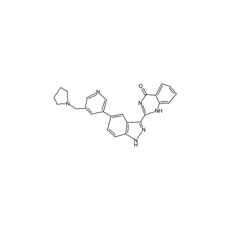 O=c1nc(-c2n[nH]c3ccc(-c4cncc(CN5CCCC5)c4)cc23)[nH]c2ccccc12